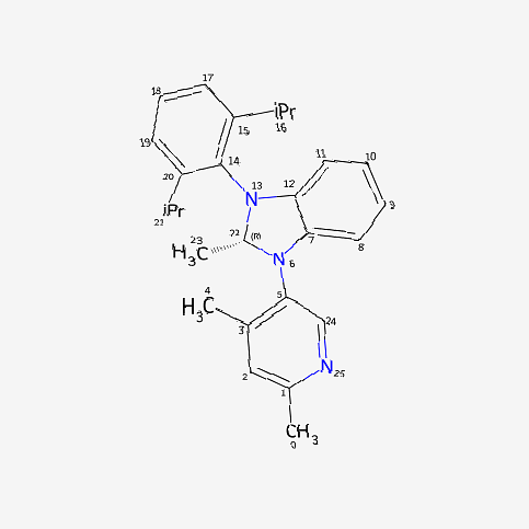 Cc1cc(C)c(N2c3ccccc3N(c3c(C(C)C)cccc3C(C)C)[C@H]2C)cn1